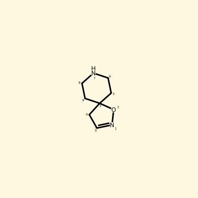 [C]1=NOC2(C1)CCNCC2